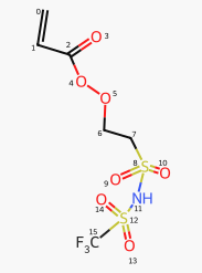 C=CC(=O)OOCCS(=O)(=O)NS(=O)(=O)C(F)(F)F